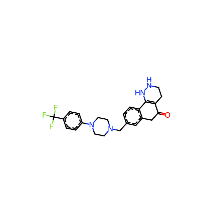 O=C1Cc2cc(CN3CCN(c4ccc(C(F)(F)F)cc4)CC3)ccc2C2=C1CCNN2